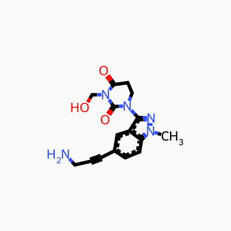 Cn1nc(N2CCC(=O)N(CO)C2=O)c2cc(C#CCN)ccc21